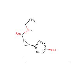 CCOC(=O)C1C[C@@H]1c1ccc(O)cc1